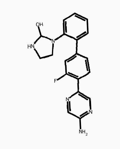 Nc1cnc(-c2ccc(-c3ccccc3N3CCNC3O)cc2F)cn1